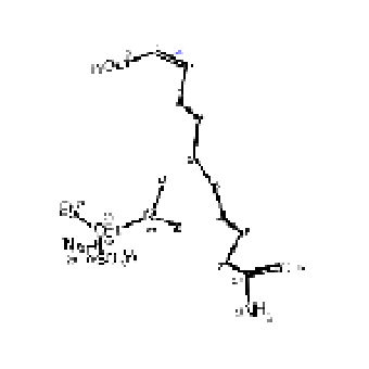 CCCCCCCC/C=C\CCCCCCCC(N)=O.CCN(C)C.CCOS(=O)(=O)O.[NaH]